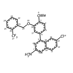 COc1ccc(-c2nc(N)nc3ccc(Cl)cc23)cc1OCc1ccccc1C(F)(F)F